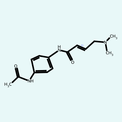 CC(=O)Nc1ccc(NC(=O)/C=C/CN(C)C)cc1